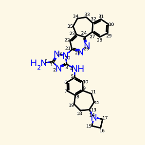 Nc1nc(Nc2ccc3c(c2)CCC(N2CCC2)CC3)n(-c2cc3c(nn2)-c2ccccc2CCC3)n1